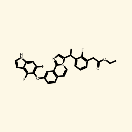 CCOC(=O)Cc1cccc(C(C)c2cnc3c4cc(Oc5c(F)cc6[nH]ccc6c5F)ccc4ccn23)c1F